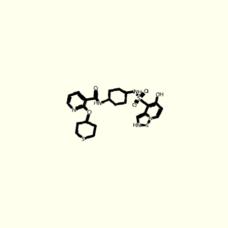 O=C(NC1CCC(NS(=O)(=O)C2=C(O)C=CN3SNC=C23)CC1)c1cccnc1OC1CCSCC1